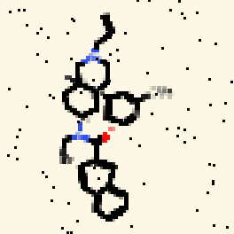 C=CCN1CC[C@@]2(c3cccc(OC)c3)C[C@@H](N(CC(C)C)C(=O)c3ccc4ccccc4c3)CC[C@@H]2C1